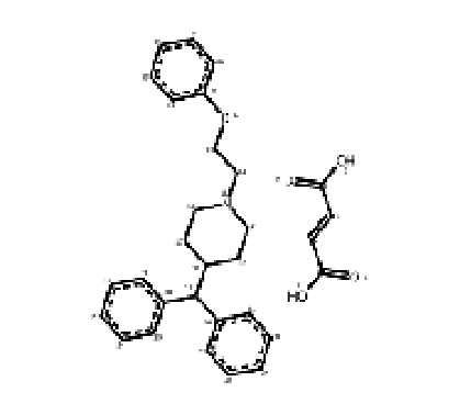 O=C(O)/C=C/C(=O)O.c1ccc(OCCN2CCC(C(c3ccccc3)c3ccccc3)CC2)cc1